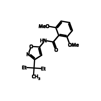 CCC(C)(CC)c1cc(NC(=O)c2c(OC)cccc2OC)on1